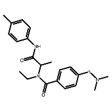 CCN(C(=O)c1ccc(SN(C)C)cc1)C(C)C(=O)Nc1ccc(C)cc1